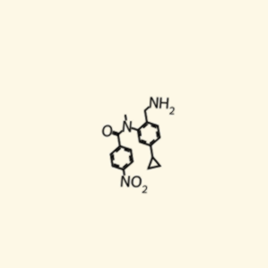 CN(C(=O)c1ccc([N+](=O)[O-])cc1)c1cc(C2CC2)ccc1CN